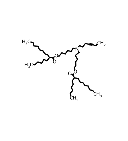 C=CC#CCCCN(CCCCCCOC(=O)C(CCCCCC)CCCCCCCC)CCCCCCOC(=O)C(CCCCCC)CCCCCCCC